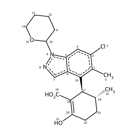 Cc1c(Cl)cc2c(cnn2C2CCCCO2)c1[C@@H]1C(C(=O)O)=C(O)CC[C@H]1C